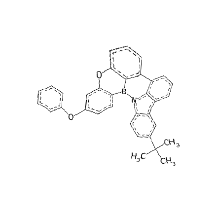 CC(C)(C)c1ccc2c(c1)c1cccc3c1n2B1c2ccc(Oc4ccccc4)cc2Oc2cccc-3c21